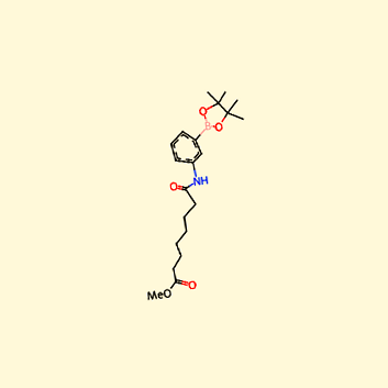 COC(=O)CCCCCCC(=O)Nc1cccc(B2OC(C)(C)C(C)(C)O2)c1